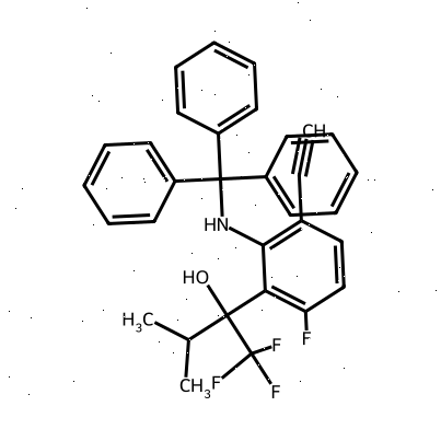 C#Cc1ccc(F)c(C(O)(C(C)C)C(F)(F)F)c1NC(c1ccccc1)(c1ccccc1)c1ccccc1